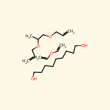 C=CCOCC(C)OCC=C.C=COC=C.OCCCCCCCCCO